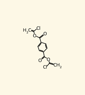 C=C(Cl)OC(=O)c1ccc(C(=O)OC(=C)Cl)cc1